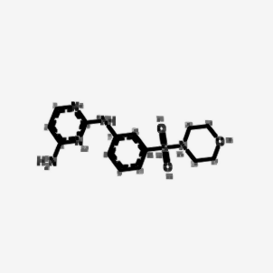 Nc1ccnc(Nc2cccc(S(=O)(=O)N3CCOCC3)c2)n1